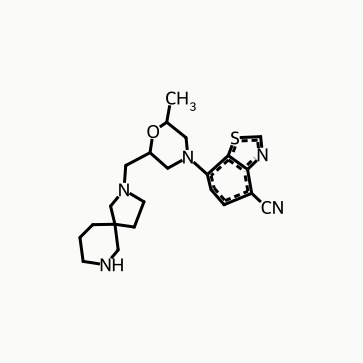 CC1CN(c2ccc(C#N)c3ncsc23)CC(CN2CCC3(CCCNC3)C2)O1